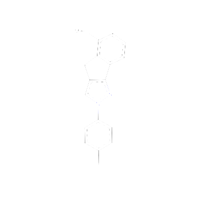 COc1cccc2c1Cc1cn(-c3ccc(C(=O)O)cc3)nc1-2